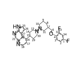 Fc1ccc(OCC2CCCN(N3CCC(c4ccnc5cnc6[nH]ccc6c45)CC3)C2)c(F)c1